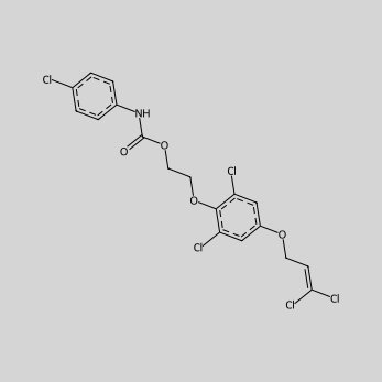 O=C(Nc1ccc(Cl)cc1)OCCOc1c(Cl)cc(OCC=C(Cl)Cl)cc1Cl